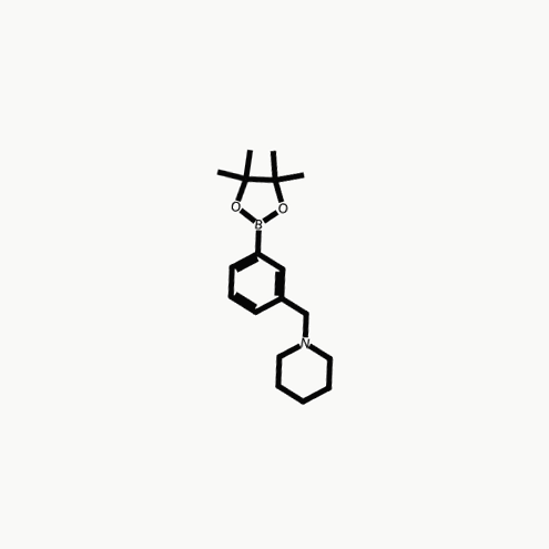 CC1(C)OB(c2cccc(CN3CCCCC3)c2)OC1(C)C